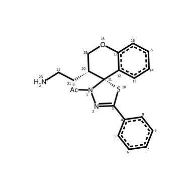 CC(=O)N1N=C(c2ccccc2)S[C@]12c1ccccc1OC[C@H]2CCN